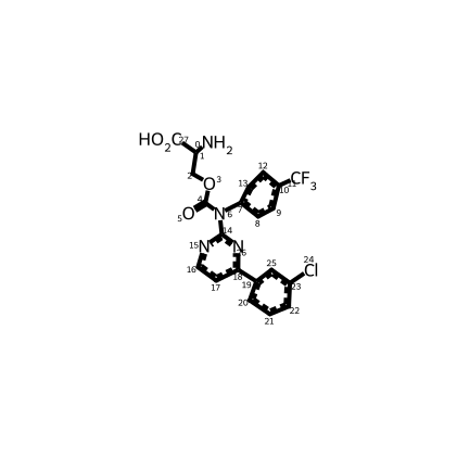 NC(COC(=O)N(c1ccc(C(F)(F)F)cc1)c1nccc(-c2cccc(Cl)c2)n1)C(=O)O